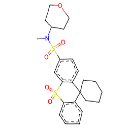 CN(C1CCOCC1)S(=O)(=O)c1ccc2c(c1)S(=O)(=O)c1ccccc1C21CCCCC1